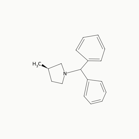 C[C@@H]1CCN(C(c2ccccc2)c2ccccc2)C1